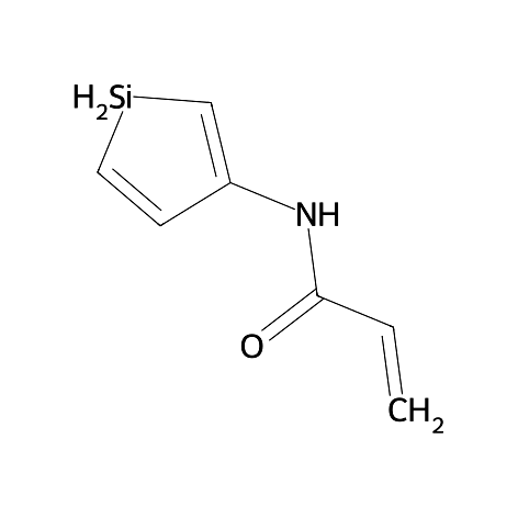 C=CC(=O)NC1=C[SiH2]C=C1